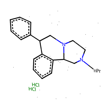 CCCN1CCN2CC(c3ccccc3)c3ccccc3C2C1.Cl.Cl